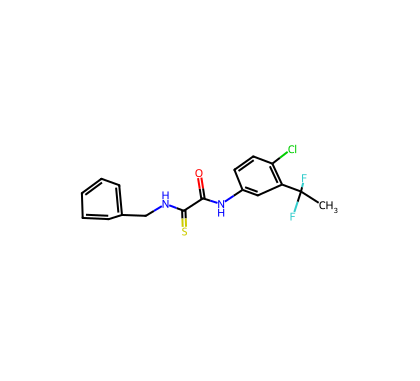 CC(F)(F)c1cc(NC(=O)C(=S)NCc2ccccc2)ccc1Cl